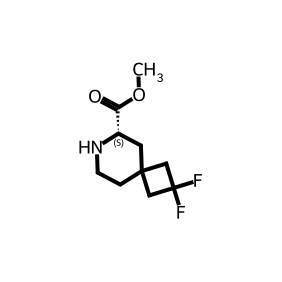 COC(=O)[C@@H]1CC2(CCN1)CC(F)(F)C2